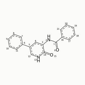 O=C(Nc1cc(-c2ccccc2)c[nH]c1=O)c1ccccc1